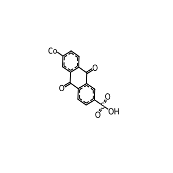 O=C1c2ccc(S(=O)(=O)O)cc2C(=O)c2cc[c]([Co])cc21